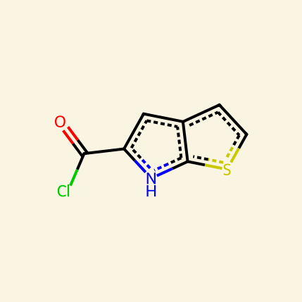 O=C(Cl)c1cc2ccsc2[nH]1